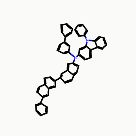 c1ccc(-c2cccc(N(c3ccc4ccc(-c5ccc6ccc(-c7ccccc7)cc6c5)cc4c3)c3ccc4c5ccccc5n(-c5ccccc5)c4c3)c2)cc1